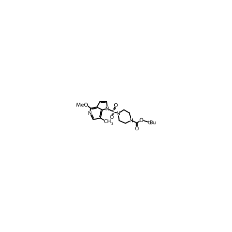 COc1ncc(C)c2c1ccn2S(=O)(=O)N1CCN(C(=O)OC(C)(C)C)CC1